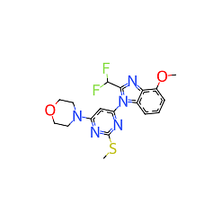 COc1cccc2c1nc(C(F)F)n2-c1cc(N2CCOCC2)nc(SC)n1